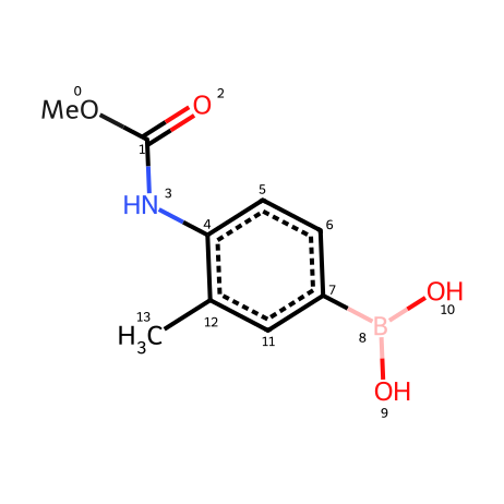 COC(=O)Nc1ccc(B(O)O)cc1C